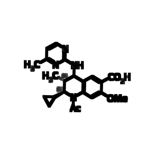 COc1cc2c(cc1C(=O)O)C(Nc1nccc(C)n1)[C@@H](C)[C@H](C1CC1)N2C(C)=O